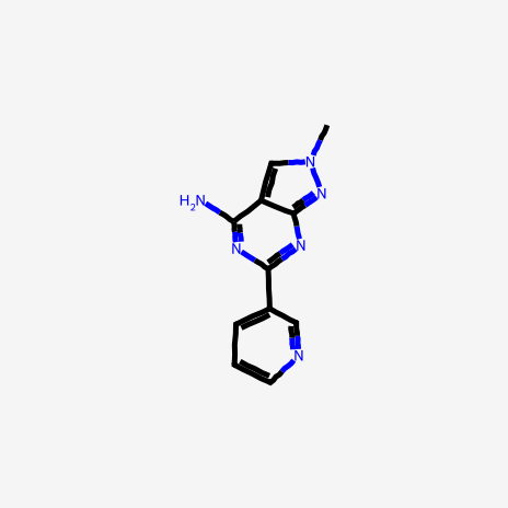 Cn1cc2c(N)nc(-c3cccnc3)nc2n1